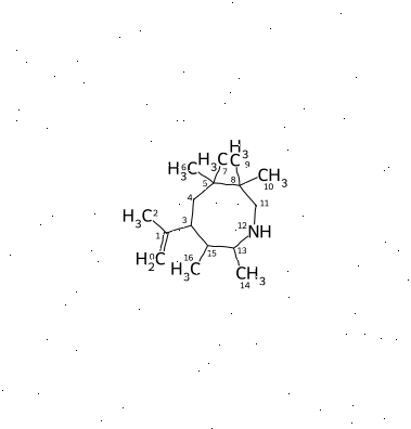 C=C(C)C1CC(C)(C)C(C)(C)CNC(C)C1C